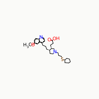 COc1ccc2nccc(CCC[C@@H]3CCN(CCCSC4CCCCC4)C[C@@H]3CCC(=O)O)c2c1